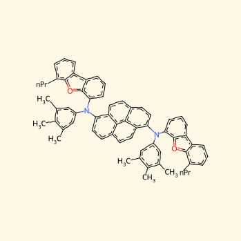 CCCc1cccc2c1oc1c(N(c3cc(C)c(C)c(C)c3)c3ccc4ccc5c(N(c6cc(C)c(C)c(C)c6)c6cccc7c6oc6c(CCC)cccc67)ccc6ccc3c4c65)cccc12